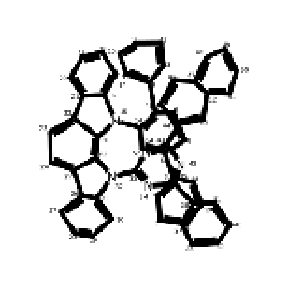 c1ccc(-c2ccc(-c3ccccc3)c(-n3c4ccccc4c4ccc5c6ccccc6n(-c6nc(-c7ccccc7)nc(-c7ccc8ccccc8c7)n6)c5c43)c2)cc1